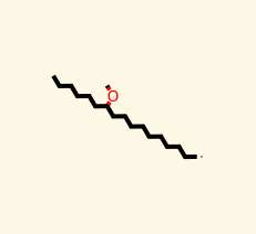 [CH2]CCCCCCCCCC(CCCCCC)OC